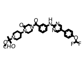 CC(C)(OC=O)N1CCC(N2CCN(C(=O)c3cccc(Nc4ncc(-c5ccc(OC(F)F)cc5)cn4)c3)CC2=O)CC1